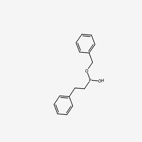 OP(CCc1ccccc1)OCc1ccccc1